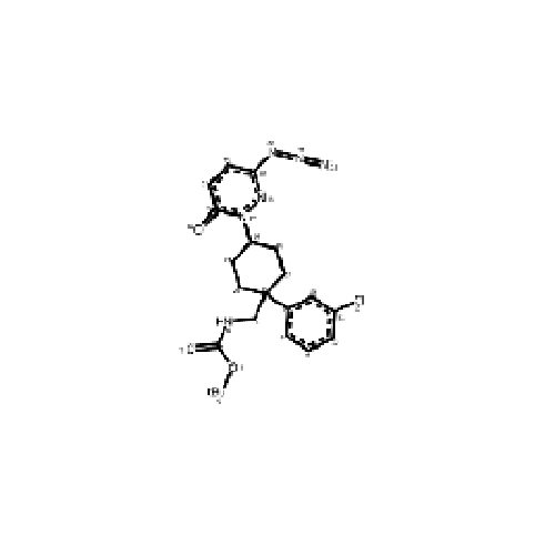 CC(C)(C)OC(=O)NCC1(c2cccc(Cl)c2)CCC(n2nc(N=[N+]=[N-])ccc2=O)CC1